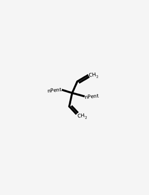 C=CC(C=C)(CCCCC)CCCCC